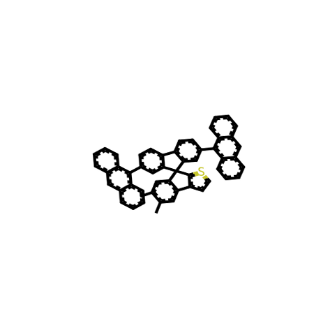 Cc1cc2c(cc1C)C1(c3cc(-c4c5ccccc5cc5ccccc45)ccc3-c3ccc(-c4c5ccccc5cc5ccccc45)cc31)c1sccc1-2